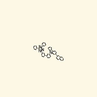 c1ccc(-c2nc(-c3ccccc3)nc(-c3cccc(-c4cccc(-n5c6ccccc6c6ccc(-c7ccc8ccccc8c7)cc65)c4)c3)n2)cc1